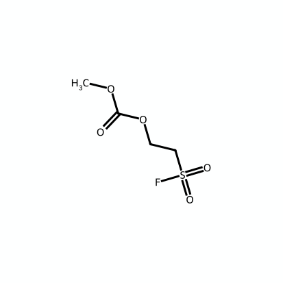 COC(=O)OCCS(=O)(=O)F